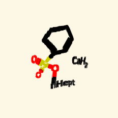 CCCCCCCOS(=O)(=O)c1ccccc1.[CaH2]